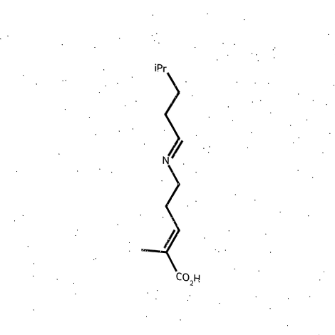 CC(=CCCN=CCCC(C)C)C(=O)O